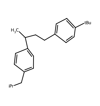 C[C](CCc1ccc(C(C)(C)C)cc1)c1ccc(CC(C)C)cc1